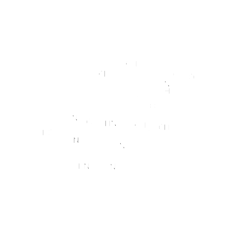 CCOc1c(C(C)Nc2ncnc(N)c2-c2nc(C)no2)cc(Cl)c(C)c1C1CCC(=O)N1